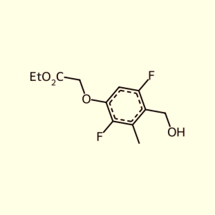 CCOC(=O)COc1cc(F)c(CO)c(C)c1F